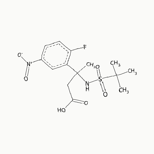 CC(CC(=O)O)(NS(=O)(=O)C(C)(C)C)c1cc([N+](=O)[O-])ccc1F